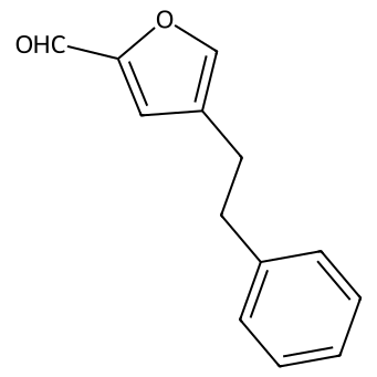 O=Cc1cc(CCc2ccccc2)co1